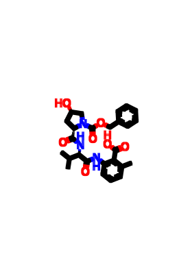 Cc1cccc(NC(=O)[C@@H](NC(=O)[C@@H]2C[C@@H](O)CN2C(=O)OCc2ccccc2)C(C)C)c1C(=O)O